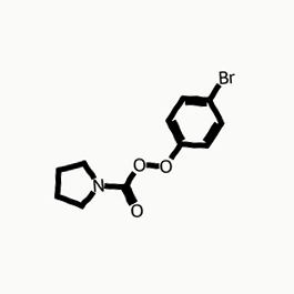 O=C(OOc1ccc(Br)cc1)N1CCCC1